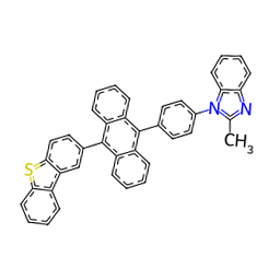 Cc1nc2ccccc2n1-c1ccc(-c2c3ccccc3c(-c3ccc4sc5ccccc5c4c3)c3ccccc23)cc1